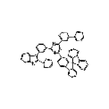 c1ccc(-c2cccc(-c3nc(-c4cccc(-n5c(-c6ccccc6)nc6ccccc65)c4)nc(-c4ccc5c(c4)C4(c6ccccc6-c6ccccc64)c4ccccc4-5)n3)c2)cc1